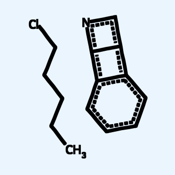 CCCCCCl.c1ccc2c3ncc-3c2c1